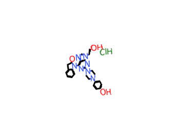 Cl.O=C1Cc2ccccc2N1c1nc(N2CCN(c3ccc(O)cc3)CC2)nc2c1ncn2CCO